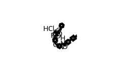 CN1CCN(C2CCN(C(=O)Nc3cc(Oc4ccc(N(F)C(=O)C5(C(=O)OCc6ccccc6)CC5)cc4)ccn3)CC2)CC1.Cl